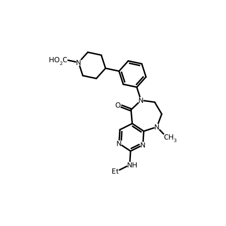 CCNc1ncc2c(n1)N(C)CCN(c1cccc(C3CCN(C(=O)O)CC3)c1)C2=O